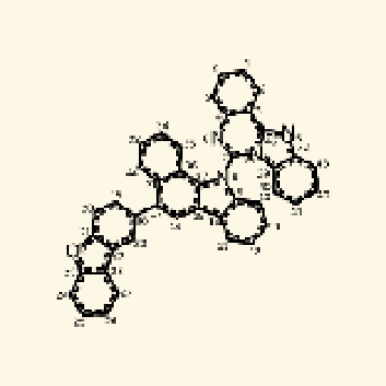 c1ccc2c(c1)nc(-n1c3ccccc3c3cc(-c4ccc5oc6ccccc6c5c4)c4ccccc4c31)n1c3ccccc3nc21